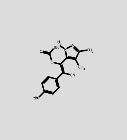 Cc1nn(C)c(C(OC(=O)C(C)(C)C)=C(C#N)c2ccc(C(C)(C)C)cc2)c1C